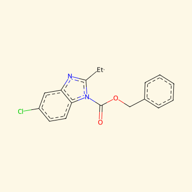 C[CH]c1nc2cc(Cl)ccc2n1C(=O)OCc1ccccc1